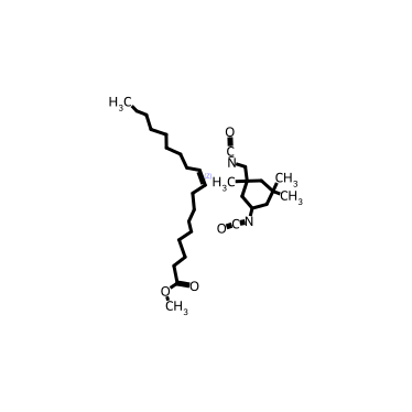 CC1(C)CC(N=C=O)CC(C)(CN=C=O)C1.CCCCCCCC/C=C\CCCCCCCC(=O)OC